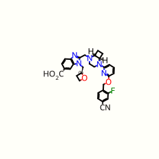 N#Cc1ccc(COc2cccc(N3CCN(Cc4nc5ccc(C(=O)O)cc5n4C[C@@H]4CCO4)[C@@H]4CC[C@@H]43)n2)c(F)c1